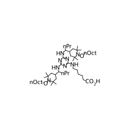 CCCCCCCCON1C(C)(C)CC(C(CCC)Nc2nc(NCCCCCC(=O)O)nc(NC(CCC)C3CC(C)(C)N(OCCCCCCCC)C(C)(C)C3)n2)CC1(C)C